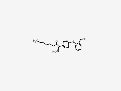 CCCCCCC(=O)C(=NO)c1ccc(Sc2ccccc2CC)cc1